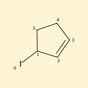 IC1C=CCC1